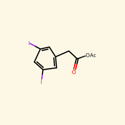 CC(=O)OC(=O)Cc1cc(I)cc(I)c1